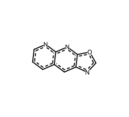 c1cnc2nc3ocnc3cc2c1